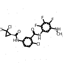 CNc1cc(NC(=O)c2cc(NC(=O)[C@H]3CC3(Cl)Cl)ccc2Cl)c(F)c(F)c1F